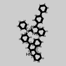 c1ccc(-c2ccc(-c3nc(N(c4ccccc4)c4cccc(-c5cc6[nH]c7ccccc7c6c6ccccc56)c4)nc4ccccc34)cc2)cc1